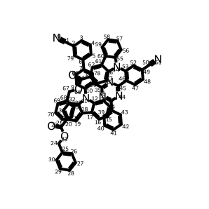 N#Cc1cccc(-c2ccc(-n3c4ccccc4c4cc(C(=O)OCc5ccccc5)ccc43)c(-c3nc(-c4ccccc4)nc(-c4ccc(C#N)cc4-n4c5ccccc5c5cc(C(=O)OCc6ccccc6)ccc54)n3)c2)c1